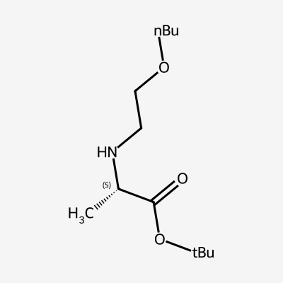 CCCCOCCN[C@@H](C)C(=O)OC(C)(C)C